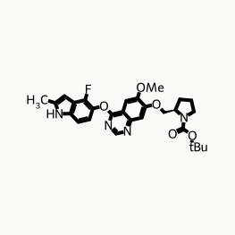 COc1cc2c(Oc3ccc4[nH]c(C)cc4c3F)ncnc2cc1OC[C@H]1CCCN1C(=O)OC(C)(C)C